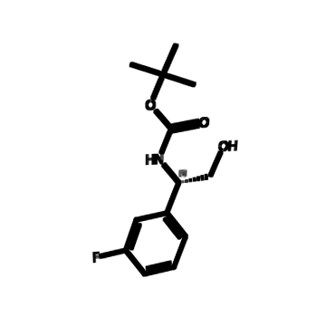 CC(C)(C)OC(=O)N[C@H](CO)c1cccc(F)c1